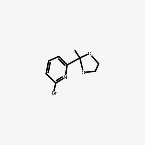 CC1(c2cccc(Br)n2)OCCO1